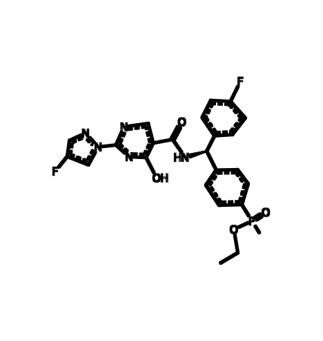 CCOP(C)(=O)c1ccc([C@@H](NC(=O)c2cnc(-n3cc(F)cn3)nc2O)c2ccc(F)cc2)cc1